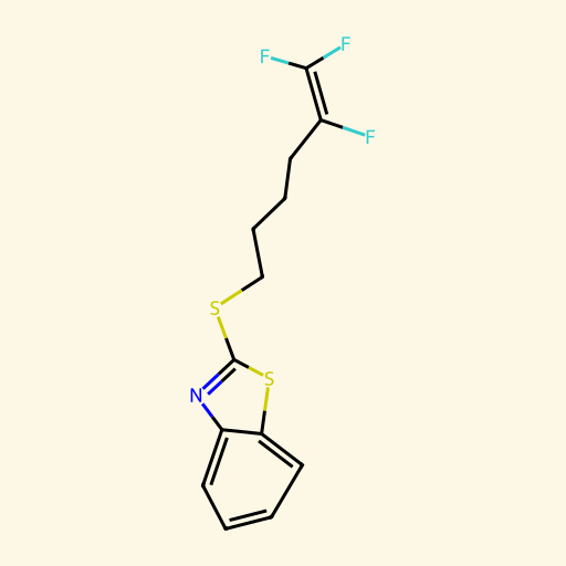 FC(F)=C(F)CCCCSc1nc2ccccc2s1